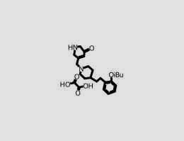 CC(C)COc1ccccc1CCC1CCN(CC2=CC(=O)CNC2)CC1.O=C(O)C(=O)O